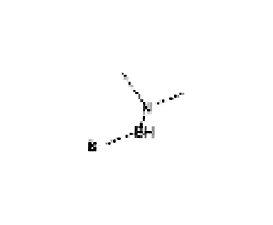 CN(C)BBr